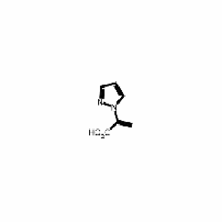 C=C(C(=O)O)n1cccn1